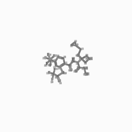 O=C(NC(C(=O)NO)C1(OCC2CC2)CNC1)c1ccc(S(F)(F)(F)(F)F)cc1OC(=O)C(F)(F)F